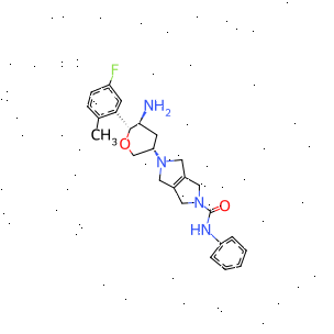 Cc1ccc(F)cc1[C@H]1OC[C@H](N2CC3=C(CN(C(=O)Nc4ccccc4)C3)C2)C[C@@H]1N